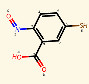 O=Nc1ccc(S)cc1C(=O)O